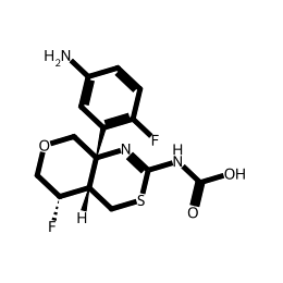 Nc1ccc(F)c([C@]23COC[C@@H](F)[C@H]2CSC(NC(=O)O)=N3)c1